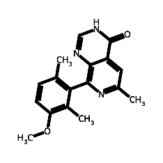 COc1ccc(C)c(-c2nc(C)cc3c(=O)[nH]cnc23)c1C